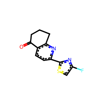 O=C1CCCc2nc(-c3nc(F)cs3)ccc21